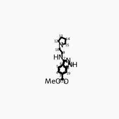 COC(=O)c1ccc2c(NCCN3CCCC3)n[nH]c2c1